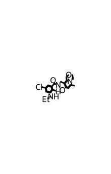 CCNc1cc(Cl)cc(C(=O)NCc2c3n(c(C)cc2=O)CCOC3)c1C